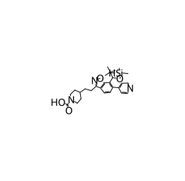 C[SiH](C)OC(c1c(-c2ccncc2)ccc2c(CCC3CCN(C(=O)O)CC3)noc12)C(C)(C)C